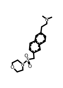 CN(C)CCc1ccc2cc(CS(=O)(=O)N3CCOCC3)ccc2c1